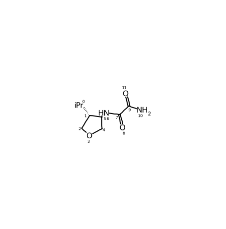 CC(C)[C@H]1COC[C@@H]1NC(=O)C(N)=O